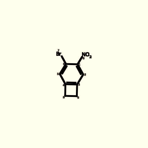 O=[N+]([O-])c1cc2c(cc1Br)CC2